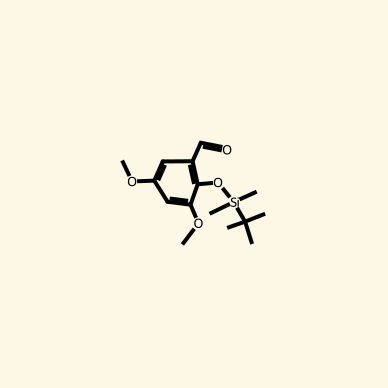 COc1cc(C=O)c(O[Si](C)(C)C(C)(C)C)c(OC)c1